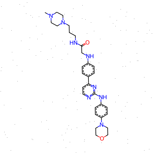 CN1CCN(CCCNC(=O)CNc2ccc(-c3ccnc(Nc4ccc(N5CCOCC5)cc4)n3)cc2)CC1